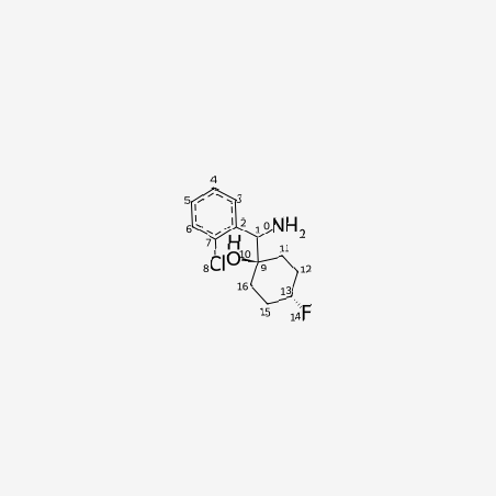 NC(c1ccccc1Cl)[C@]1(O)CC[C@H](F)CC1